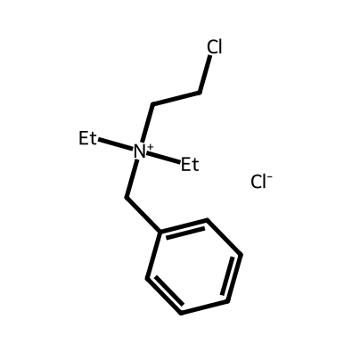 CC[N+](CC)(CCCl)Cc1ccccc1.[Cl-]